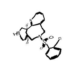 O=S(=O)(c1ccccc1Cl)N1Cc2cccnc2[C@@H]2CNC[C@H]2C1